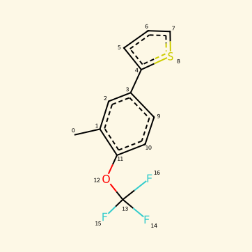 Cc1cc(-c2cccs2)ccc1OC(F)(F)F